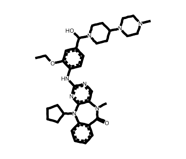 CCOc1cc(C(O)N2CCC(N3CCN(C)CC3)CC2)ccc1Nc1ncc2c(n1)N(C1CCCC1)c1ccccc1C(=O)N2C